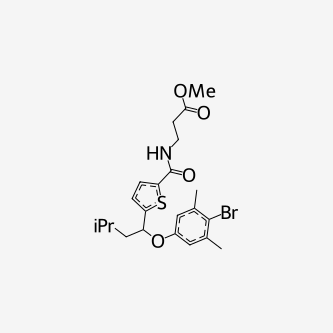 COC(=O)CCNC(=O)c1ccc(C(CC(C)C)Oc2cc(C)c(Br)c(C)c2)s1